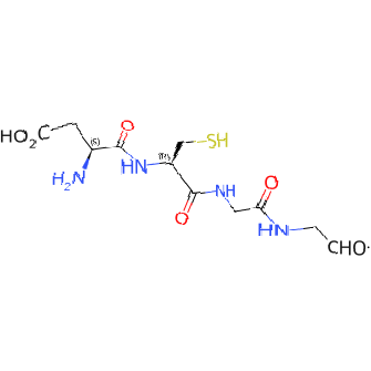 N[C@@H](CC(=O)O)C(=O)N[C@@H](CS)C(=O)NCC(=O)NC[C]=O